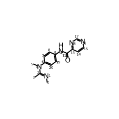 CN=C(C)N(C)c1ccc(NC(=O)c2ccncn2)cc1